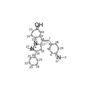 CN(C)c1ccc(/C=c2/c3cc(O)ccc3n3c2cc(-c2ccccc2)[n+]3C)cc1